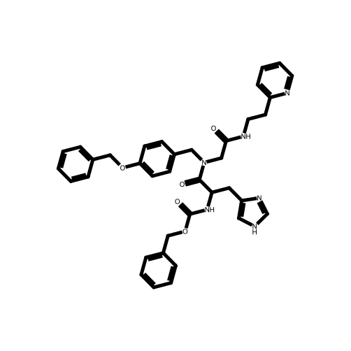 O=C(CN(Cc1ccc(OCc2ccccc2)cc1)C(=O)C(Cc1c[nH]cn1)NC(=O)OCc1ccccc1)NCCc1ccccn1